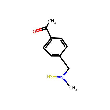 CC(=O)c1ccc(CN(C)S)cc1